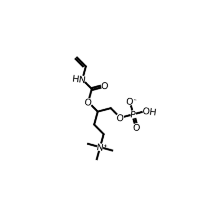 C=CNC(=O)OC(CC[N+](C)(C)C)COP(=O)([O-])O